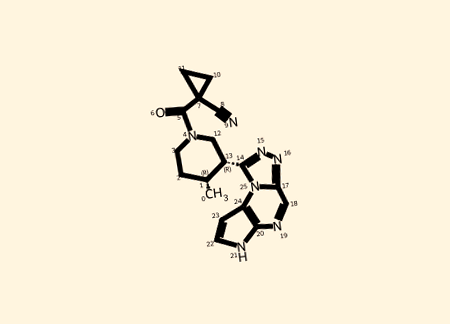 C[C@@H]1CCN(C(=O)C2(C#N)CC2)C[C@@H]1c1nnc2cnc3[nH]ccc3n12